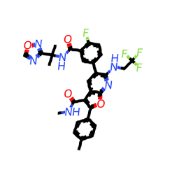 CNC(=O)c1c(-c2ccc(C)cc2)oc2nc(NCC(F)(F)F)c(-c3ccc(F)c(C(=O)NC(C)(C)c4ncon4)c3)cc12